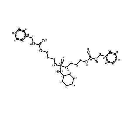 O=C(OCCCOP(=O)(NC1CCCCC1)OCCCOC(=O)OCc1ccccc1)OCc1ccccc1